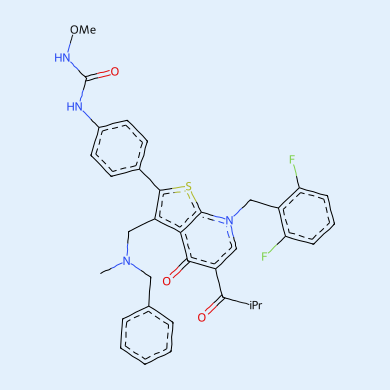 CONC(=O)Nc1ccc(-c2sc3c(c2CN(C)Cc2ccccc2)c(=O)c(C(=O)C(C)C)cn3Cc2c(F)cccc2F)cc1